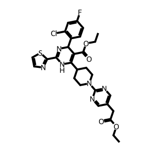 CCOC(=O)Cc1cnc(N2CCC(C3=C(C(=O)OCC)C(c4ccc(F)cc4Cl)N=C(c4nccs4)N3)CC2)nc1